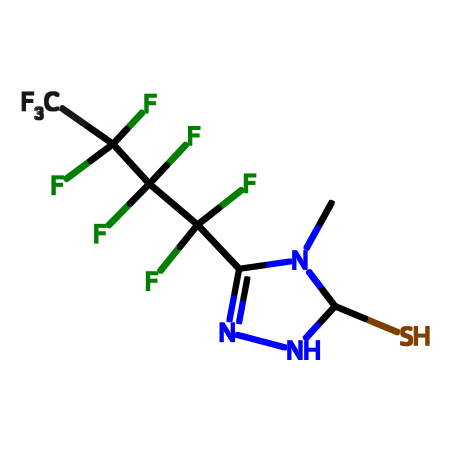 CN1C(C(F)(F)C(F)(F)C(F)(F)C(F)(F)F)=NNC1S